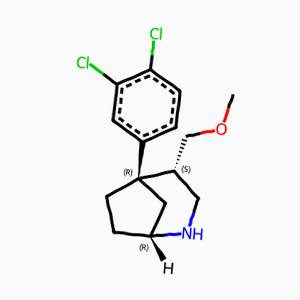 COC[C@@H]1CN[C@@H]2CC[C@@]1(c1ccc(Cl)c(Cl)c1)C2